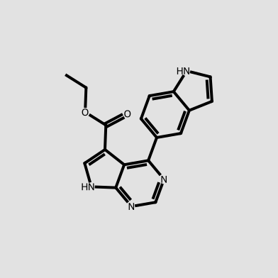 CCOC(=O)c1c[nH]c2ncnc(-c3ccc4[nH]ccc4c3)c12